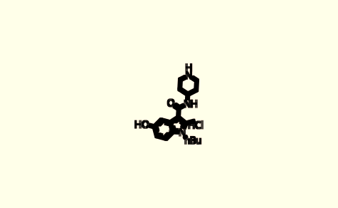 CCCCn1c(C)c(C(=O)NC2CCNCC2)c2cc(O)ccc21.Cl